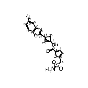 NS(=O)(=O)Cc1ccc(C(=O)NC23CC(c4nc5cc(Cl)ccc5o4)(C2)C3)o1